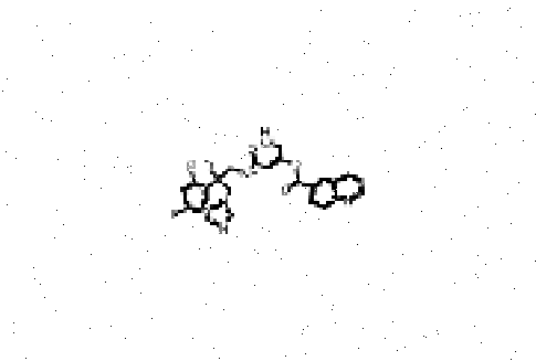 CCC(=CC(=O)NCC(O)(Cn1cncn1)c1ccc(F)cc1F)OC(=O)c1ccc2ncccc2c1